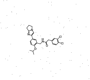 CC(C)Oc1ccc(-c2cn3c(n2)CCC3)cc1CNC(=O)Cc1ccc(Cl)c(Cl)c1